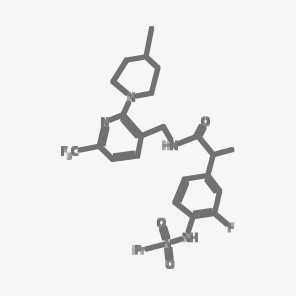 CC1CCN(c2nc(C(F)(F)F)ccc2CNC(=O)C(C)c2ccc(NS(=O)(=O)C(C)C)c(F)c2)CC1